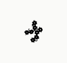 c1ccc2c(c1)B1c3cc4c(cc3N(c3ccc5c(c3)sc3ccccc35)c3cc(-c5ccc6oc7ccccc7c6c5)cc-2c31)sc1ccccc14